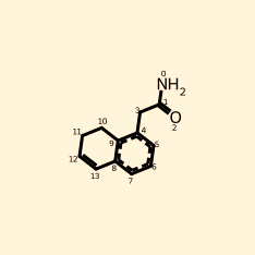 NC(=O)Cc1cccc2c1CCC=C2